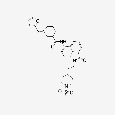 CS(=O)(=O)N1CCC(CCN2C(=O)c3cccc4c(NC(=O)C5CCCN(Sc6ccco6)C5)ccc2c34)CC1